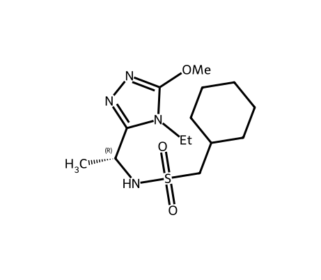 CCn1c(OC)nnc1[C@@H](C)NS(=O)(=O)CC1CCCCC1